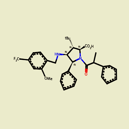 COc1cc(C(F)(F)F)ccc1CN[C@H]1[C@H](C(C)(C)C)[C@@H](C(=O)O)N(C(=O)C(C)c2ccccc2)[C@H]1c1ccccc1